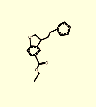 CCOC(=O)c1ccc2c(c1)C(CCc1ccccc1)CO2